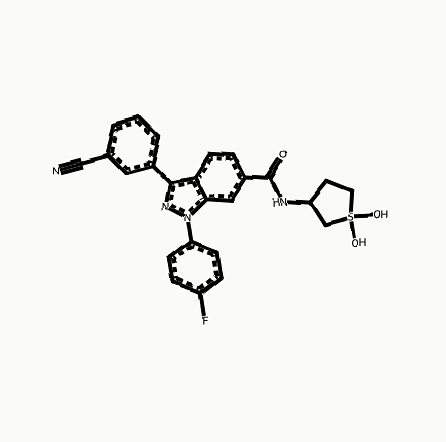 N#Cc1cccc(-c2nn(-c3ccc(F)cc3)c3cc(C(=O)NC4CCS(O)(O)C4)ccc23)c1